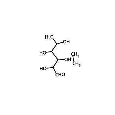 CC.CC(O)C(O)C(O)C(O)C=O